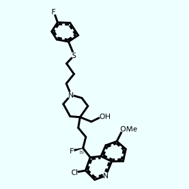 COc1ccc2ncc(Cl)c([C@@H](F)CCC3(CO)CCN(CCCSc4ccc(F)cc4)CC3)c2c1